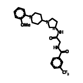 COc1ccccc1N1CCC(N2CC[C@@H](NC(=O)CNC(=O)c3cccc(C(F)(F)F)c3)C2)CC1